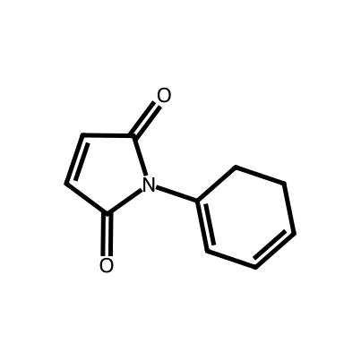 O=C1C=CC(=O)N1C1=CC=CCC1